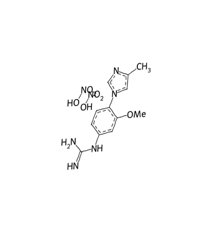 COc1cc(NC(=N)N)ccc1-n1cnc(C)c1.O=[N+]([O-])O.O=[N+]([O-])O